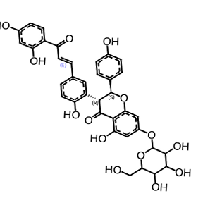 O=C(/C=C/c1ccc(O)c([C@H]2C(=O)c3c(O)cc(OC4OC(CO)C(O)C(O)C4O)cc3O[C@@H]2c2ccc(O)cc2)c1)c1ccc(O)cc1O